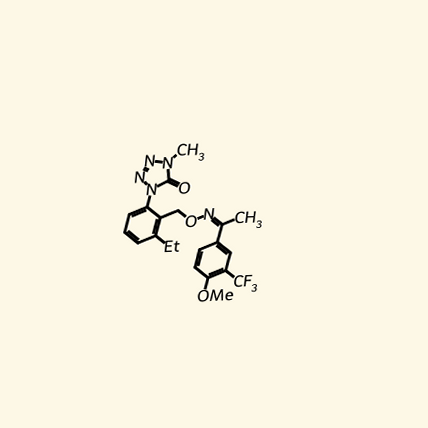 CCc1cccc(-n2nnn(C)c2=O)c1CON=C(C)c1ccc(OC)c(C(F)(F)F)c1